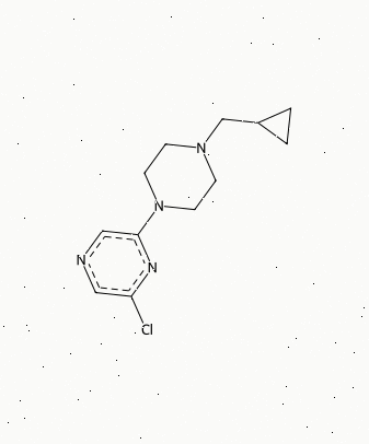 Clc1cncc(N2CCN(CC3CC3)CC2)n1